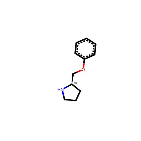 c1ccc(OC[C@H]2CCCN2)cc1